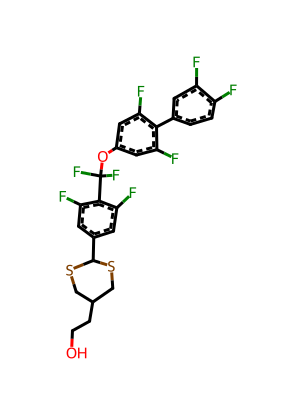 OCCC1CSC(c2cc(F)c(C(F)(F)Oc3cc(F)c(-c4ccc(F)c(F)c4)c(F)c3)c(F)c2)SC1